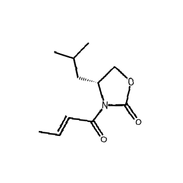 C/C=C/C(=O)N1C(=O)OC[C@H]1CC(C)C